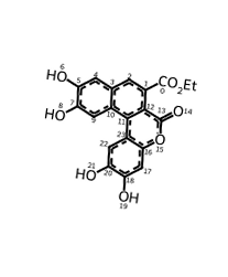 CCOC(=O)c1cc2cc(O)c(O)cc2c2c1c(=O)oc1cc(O)c(O)cc12